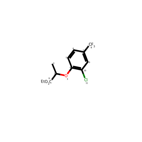 CCOC(=O)C(C)Oc1ccc(C(F)(F)F)cc1Cl